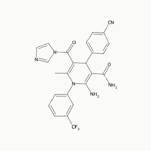 CC1=C(C(=O)n2ccnc2)C(c2ccc(C#N)cc2)C(C(N)=O)=C(N)N1c1cccc(C(F)(F)F)c1